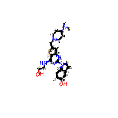 CN(C)C1CCN(Cc2cc3nc(-n4ccc5cc(O)ccc54)nc(NCCO)c3s2)CC1